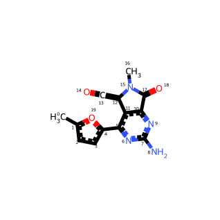 Cc1ccc(-c2nc(N)nc3c2C(=C=O)N(C)C3=O)o1